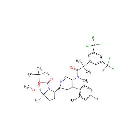 COC(=O)[C@]1(C)CC[C@H](C2CC(c3ccc(F)cc3C)=C(N(C)C(=O)C(C)(C)c3cc(C(F)(F)F)cc(C(F)(F)F)c3)C=N2)N1C(=O)OC(C)(C)C